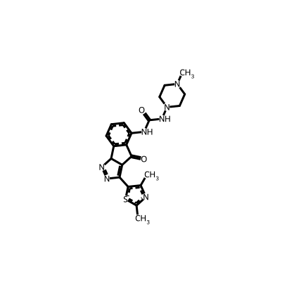 Cc1nc(C)c(C2=C3C(=O)c4c(NC(=O)NN5CCN(C)CC5)cccc4C3N=N2)s1